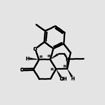 Cc1ccc2c3c1O[C@@H]1C(=O)CC[C@]4(O)[C@H](C2)N(C)CC[C@@]314